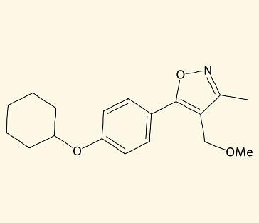 COCc1c(C)noc1-c1ccc(OC2CCCCC2)cc1